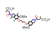 COc1cc2c(cc1OCCCOc1c(F)c3c(c(C)c1OC)CN(C(=O)C[C@H](C)C(=O)O)C3C)CN(C(=O)C[C@H](C)C(=O)O)C2